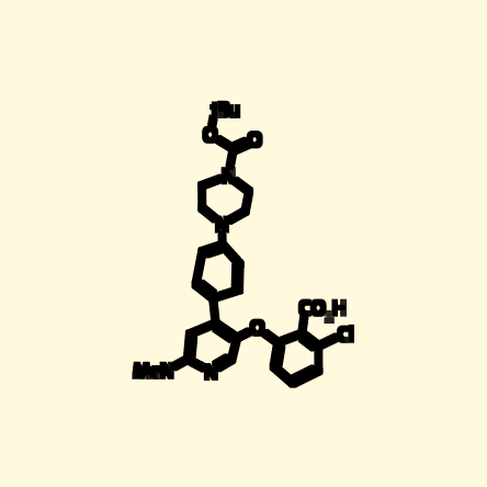 CNc1cc(-c2ccc(N3CCN(C(=O)OC(C)(C)C)CC3)cc2)c(Oc2cccc(Cl)c2C(=O)O)cn1